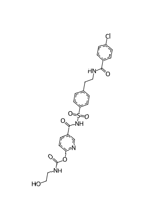 O=C(NCCO)Oc1ccc(C(=O)NS(=O)(=O)c2ccc(CCNC(=O)c3ccc(Cl)cc3)cc2)cn1